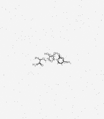 CC(C)C(OC[C@H]1O[C@@H](n2ccc(N)nc2=O)[C@H](O)[C@@H]1O)C(N)=O